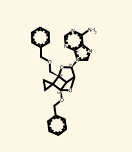 Nc1ncnc2c1ncn2[C@@H]1O[C@]2(COCc3ccccc3)C3C1O[C@]3(OCc1ccccc1)C21CC1